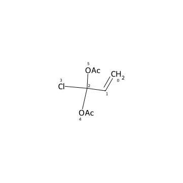 C=CC(Cl)(OC(C)=O)OC(C)=O